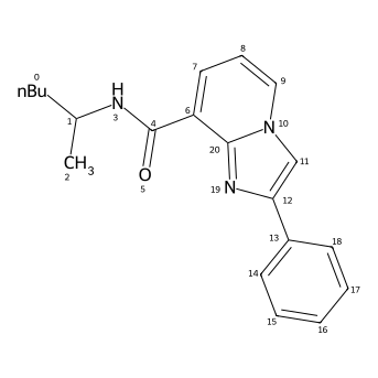 CCCCC(C)NC(=O)c1cccn2cc(-c3ccccc3)nc12